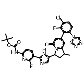 CC1CC(c2cnc(-c3ccc(NC(=O)OC(C)(C)C)nc3F)[nH]2)n2c1cc(-c1c(-n3cnnn3)ccc(Cl)c1F)cc2=O